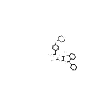 N=C(NC1N=C(c2ccccc2)c2ccccc2NC1=O)OC(=N)c1ccc(OC2CCOCC2)cc1